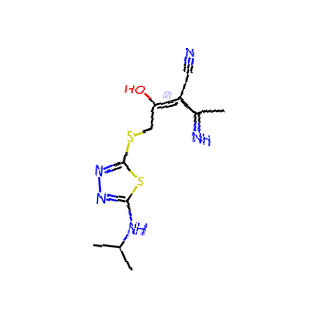 CC(=N)/C(C#N)=C(/O)CSc1nnc(NC(C)C)s1